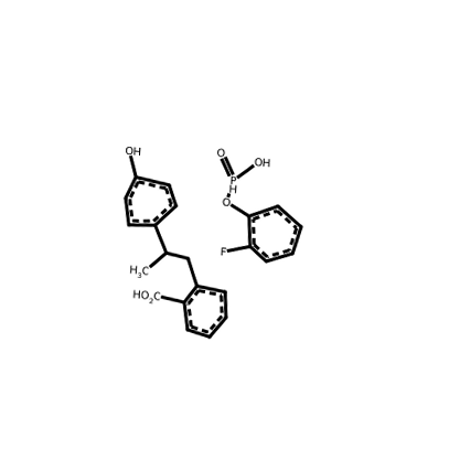 CC(Cc1ccccc1C(=O)O)c1ccc(O)cc1.O=[PH](O)Oc1ccccc1F